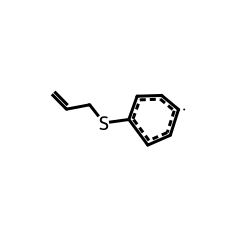 C=CCSc1cc[c]cc1